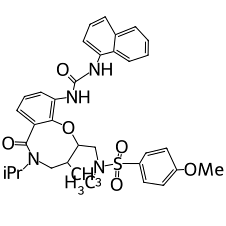 COc1ccc(S(=O)(=O)N(C)CC2Oc3c(NC(=O)Nc4cccc5ccccc45)cccc3C(=O)N(C(C)C)CC2C)cc1